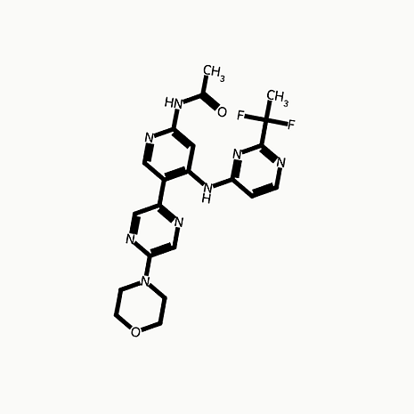 CC(=O)Nc1cc(Nc2ccnc(C(C)(F)F)n2)c(-c2cnc(N3CCOCC3)cn2)cn1